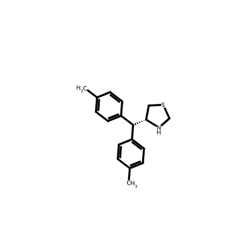 Cc1ccc(C(c2ccc(C)cc2)[C@@H]2CSCN2)cc1